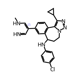 CN/C=C(\C=N)c1ccc2c(c1)C(Nc1ccc(Cl)cc1)CCn1nnc(C3CC3)c1-2